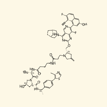 C#Cc1c(F)ccc2cc(O)cc(-c3ncc4c(N5CC6CCC(C5)N6)nc(OC[C@@H]5CC(=C)CN5CCC(=O)NCCCC(=O)N[C@H](C(=O)N5C[C@H](O)C[C@H]5C(=O)N[C@@H](C)c5ccc(-c6scnc6C)cc5)C(C)(C)C)nc4c3F)c12